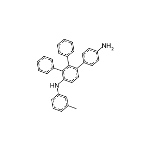 Cc1cccc(Nc2ccc(-c3ccc(N)cc3)c(-c3ccccc3)c2-c2ccccc2)c1